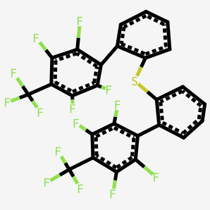 Fc1c(F)c(C(F)(F)F)c(F)c(F)c1-c1ccccc1Sc1ccccc1-c1c(F)c(F)c(C(F)(F)F)c(F)c1F